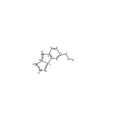 CCCc1ccc2c(c1)C1=CN=NC1=N2